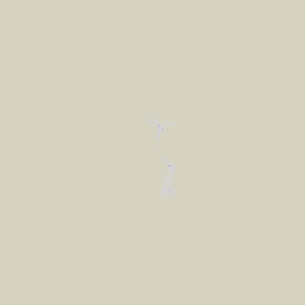 N=Nc1cccc[n+]1[O-]